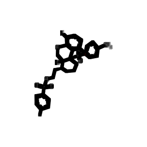 Cc1ccc(S(=O)(=O)OCC[C@@H]2CCC[C@@]3(S(=O)(=O)c4ccc(C(F)(F)F)cc4)c4c(F)ccc(F)c4OC[C@@H]23)cc1